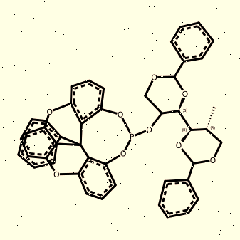 C[C@@H]1COC(c2ccccc2)O[C@H]1[C@@H]1OC(c2ccccc2)OCC1OP1Oc2cccc3c2C2(c4ccccc4O3)c3ccccc3Oc3cccc(c32)O1